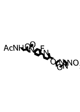 CC(=O)NCC1CN(c2ccc(-c3ccc(COC4COc5nc([N+](=O)[O-])cn5C4)cn3)c(F)c2)C(=O)O1